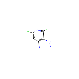 NNc1c(N)cc(Cl)nc1Cl